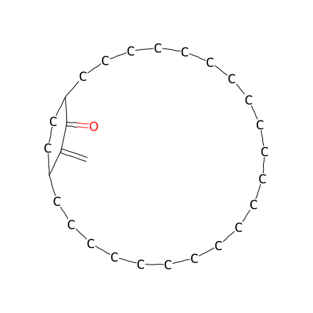 C=C1C(=O)C2CCCCCCCCCCCCCCCCCCCCCC1CC2